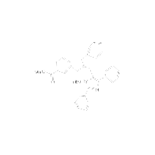 CCCCn1c(-c2ccccc2)nc(-c2ccccc2)c1CN(Cc1ccccc1)Cc1cccc(C(=O)OC)c1